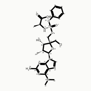 COC(=O)[C@H](C)N[P@](=O)(OC[C@@]1(CCl)O[C@@H](n2cnc3c(N(C)C)nc(N)nc32)[C@H](F)[C@@H]1O)Oc1ccccc1